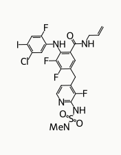 C=CCNC(=O)c1cc(Cc2ccnc(NS(=O)(=O)NC)c2F)c(F)c(F)c1Nc1cc(Cl)c(I)cc1F